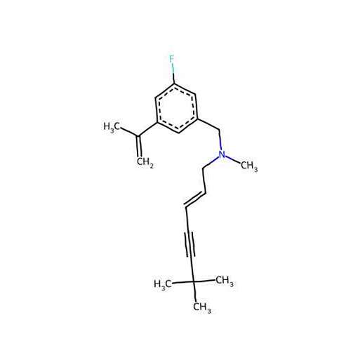 C=C(C)c1cc(F)cc(CN(C)C/C=C/C#CC(C)(C)C)c1